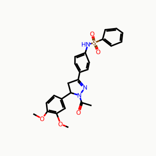 COc1ccc(C2CC(c3ccc(NS(=O)(=O)c4ccccc4)cc3)=NN2C(C)=O)cc1OC